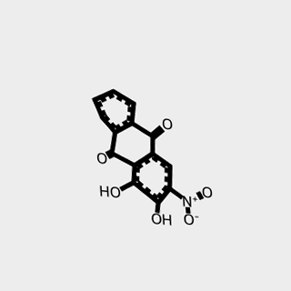 O=C1c2ccccc2C(=O)c2c1cc([N+](=O)[O-])c(O)c2O